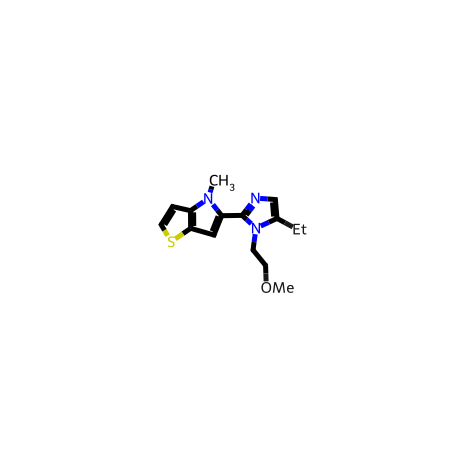 CCc1cnc(-c2cc3sccc3n2C)n1CCOC